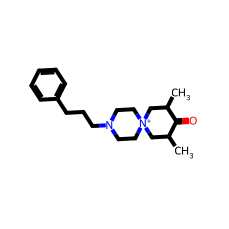 CC1C[N+]2(CCN(CCCc3ccccc3)CC2)CC(C)C1=O